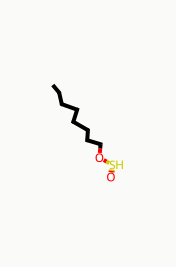 CCCCCCCCO[SH]=O